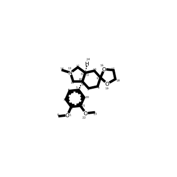 COc1ccc([C@@]23CCC4(C[C@@H]2CN(C)C3)OCCO4)cc1OC